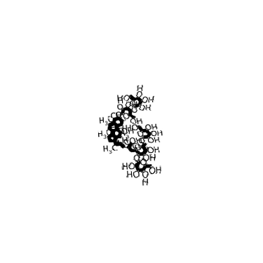 C[C@H](CC[C@@H](CC1OC(COC2OC(CO)C(O)C(O)C2O)C(O)C(O)C1OC1OC(CO)C(O)C(O)C1O)C(C)(C)O)C1CC[C@@]2(C)[C@@H]3CC=C4[C@@H](CC[C@H](OC5OC(CO)C(OC6OC(CO)C(O)C(O)C6O)C(O)C5O)C4(C)C)[C@]3(C)[C@H](O)C[C@]12C